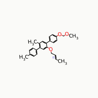 C/C=C/COc1cc(-c2ccc(C)cc2)c(C)cc1-c1ccc(OCOC)cc1